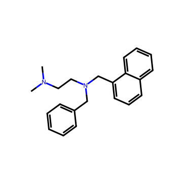 CN(C)CCN(Cc1ccccc1)Cc1cccc2ccccc12